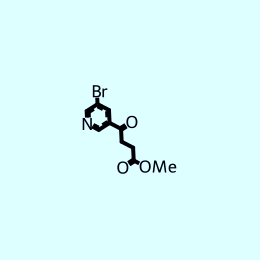 COC(=O)CCC(=O)c1cncc(Br)c1